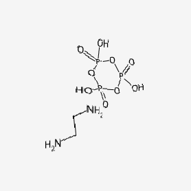 NCCN.O=P1(O)OP(=O)(O)OP(=O)(O)O1